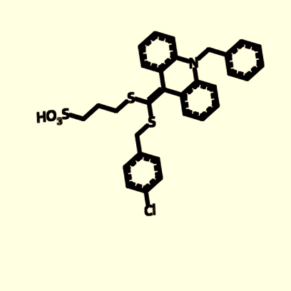 O=S(=O)(O)CCCSC(SCc1ccc(Cl)cc1)=C1c2ccccc2N(Cc2ccccc2)c2ccccc21